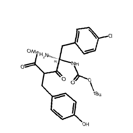 COC(=O)C(Cc1ccc(O)cc1)C(=O)[C@@](N)(Cc1ccc(Cl)cc1)NC(=O)OC(C)(C)C